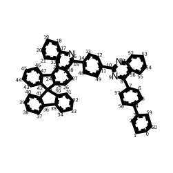 c1ccc(-c2ccc(-c3nc(-c4ccc(-c5nc6ccccc6c6c7c(ccc56)C5(c6ccccc6-c6ccccc65)c5ccccc5-7)cc4)nc4ccccc34)cc2)cc1